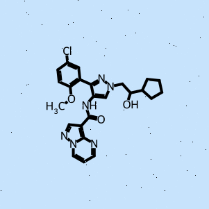 COc1ccc(Cl)cc1-c1nn(CC(O)C2CCCC2)cc1NC(=O)c1cnn2cccnc12